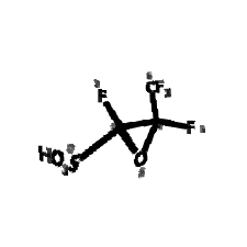 O=S(=O)(O)C1(F)OC1(F)C(F)(F)F